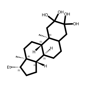 CC[C@H]1CC[C@H]2[C@@H]3CCC4CC(O)(O)C(O)(O)C[C@]4(C)[C@H]3CC[C@]12C